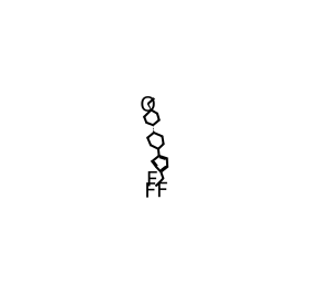 CO[C@H]1CC[C@H](C2CCC(c3ccc(CC(F)(F)F)cc3)CC2)CC1